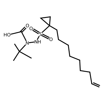 C=CCCCCCCCC1(S(=O)(=O)NN(C(=O)O)C(C)(C)C)CC1